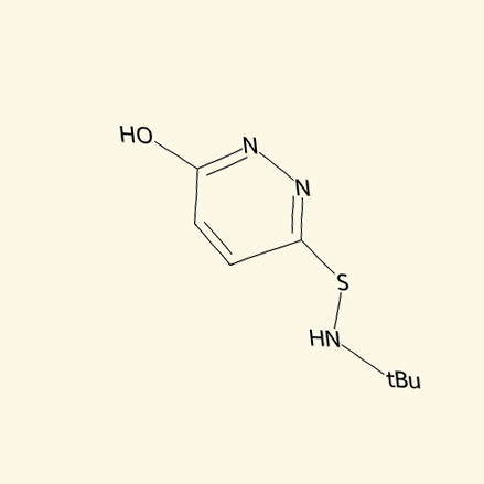 CC(C)(C)NSc1ccc(O)nn1